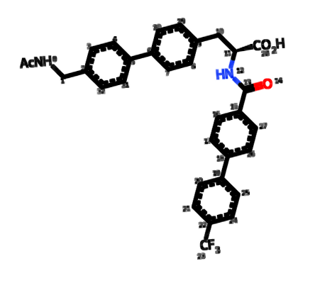 CC(=O)NCc1ccc(-c2ccc(C[C@H](NC(=O)c3ccc(-c4ccc(C(F)(F)F)cc4)cc3)C(=O)O)cc2)cc1